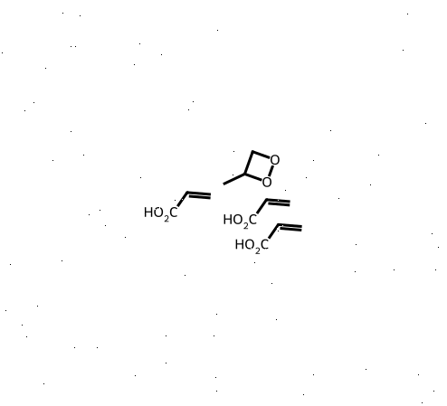 C=CC(=O)O.C=CC(=O)O.C=CC(=O)O.CC1COO1